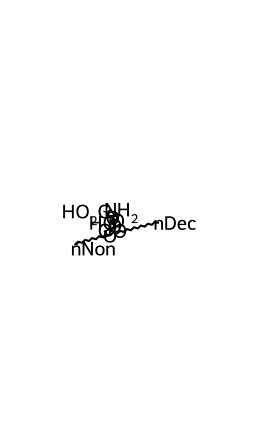 CCCCCCCCC/C=C\CCCCCCCC(=O)O[C@H](COCCCCCCCCCCCCCCCCCCCC)COP(=O)(O)OC[C@H](N)C(=O)O